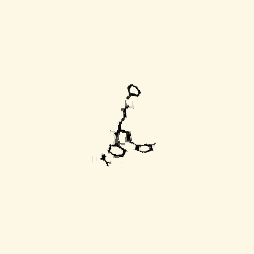 CC(Oc1ccc(-n2nc(CCC(=O)NCc3cccc(F)c3)cc2-c2cccc(F)c2)cc1)C(=O)O